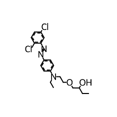 CCC(O)COCCN(CC)c1ccc(N=Nc2cc(Cl)ccc2Cl)cc1